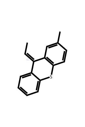 C/C=C1/c2ccccc2Sc2ccc(C)cc21